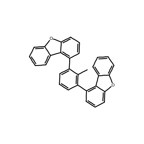 Cc1c(-c2cccc3oc4ccccc4c23)cccc1-c1cccc2oc3ccccc3c12